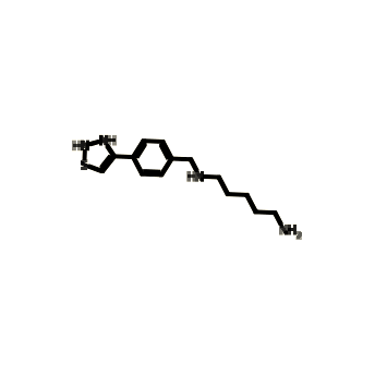 NCCCCCNCc1ccc(C2=CSNN2)cc1